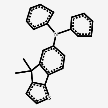 CC1(C)c2cc(N(c3ccccc3)c3ccccc3)ccc2-c2sccc21